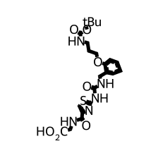 CC(C)(C)OC(=O)NCCCOc1ccccc1CNC(=O)Nc1nc(C(=O)NCC(=O)O)cs1